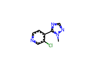 Cn1ncnc1-c1ccncc1Cl